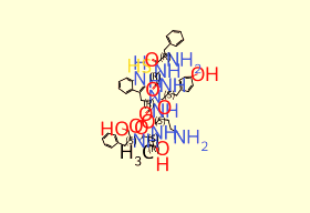 C[C@@H](O)[C@H](NC(=O)[C@H](CCCN)NC(=O)[C@@H](Cc1c[nH]c2ccccc12)NC(=O)[C@H](Cc1ccc(O)cc1)NC(=O)[C@H](CS)NC(=O)[C@H](N)Cc1ccccc1)C(=O)N[C@@H](Cc1ccccc1)C(=O)O